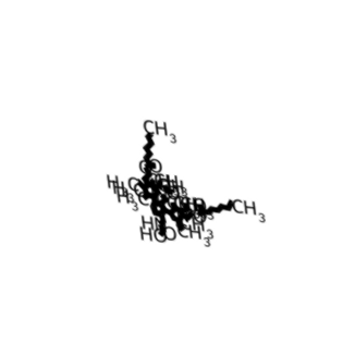 CCCCCCCC(=O)OCCN1C(C)(CC)CC(c2ccc(CNC(=O)O)c(C3CC(C)(CC)N(CCOC(=O)CCCCCCC)C(C)(CC)C3C)c2CNC(=O)O)C(C)C1(C)CC